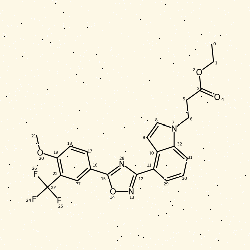 CCOC(=O)CCn1ccc2c(-c3noc(-c4ccc(OC)c(C(F)(F)F)c4)n3)cccc21